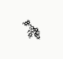 CCOC(=O)c1c(CCCOc2cccc3cc(F)ccc23)c2ccc(Cl)c(-c3cnn4cccnc34)c2n1CCN1CCN(C)CC1